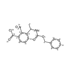 CC(NC(=O)OCc1ccccc1)c1cccc(C(=O)Cl)c1[N+](=O)[O-]